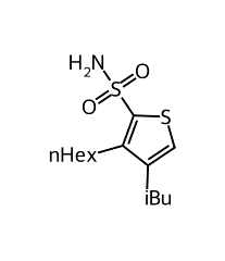 CCCCCCc1c(C(C)CC)csc1S(N)(=O)=O